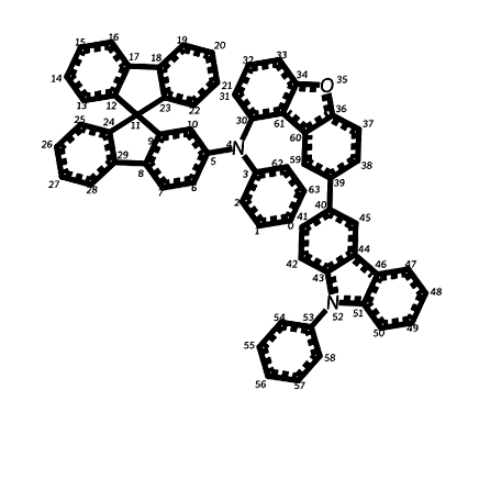 c1ccc(N(c2ccc3c(c2)C2(c4ccccc4-c4ccccc42)c2ccccc2-3)c2cccc3oc4ccc(-c5ccc6c(c5)c5ccccc5n6-c5ccccc5)cc4c23)cc1